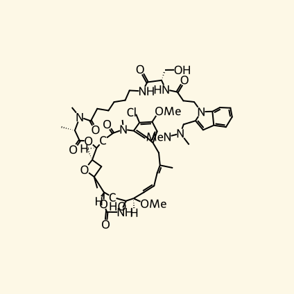 CNN(C)Cc1cc2ccccc2n1CCC(=O)N[C@@H](CO)C(=O)NCCCCCC(=O)N(C)[C@@H](C)C(=O)O[C@H]1CC(=O)N(C)c2cc(cc(OC)c2Cl)C/C(C)=C/C=C/[C@@H](OC)[C@@]2(O)C[C@H](OC(=O)N2)C2(C)C[C@@]1(C)O2